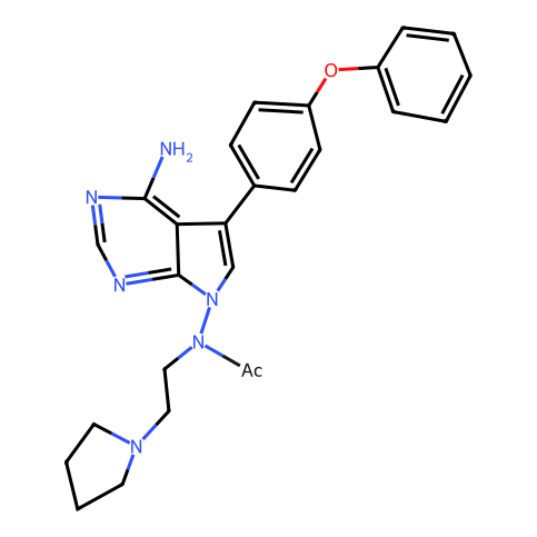 CC(=O)N(CCN1CCCC1)n1cc(-c2ccc(Oc3ccccc3)cc2)c2c(N)ncnc21